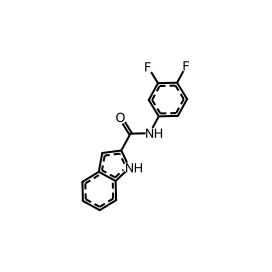 O=C(Nc1ccc(F)c(F)c1)c1cc2ccccc2[nH]1